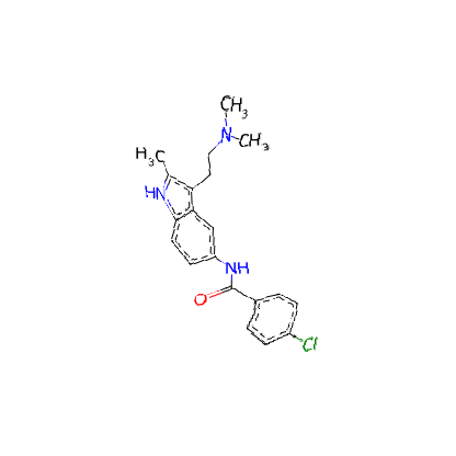 Cc1[nH]c2ccc(NC(=O)c3ccc(Cl)cc3)cc2c1CCN(C)C